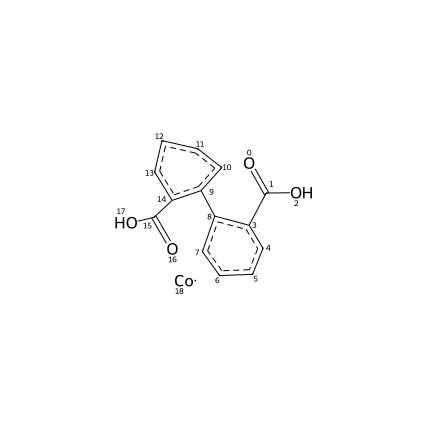 O=C(O)c1ccccc1-c1ccccc1C(=O)O.[Co]